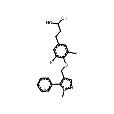 Cn1ncc(COc2c(F)cc(CCC(O)O)cc2F)c1-c1ccccc1